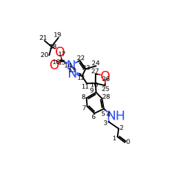 C=CCCNc1cccc(C2(Cc3nn(C(=O)OC(C)(C)C)cc3C)COC2)c1